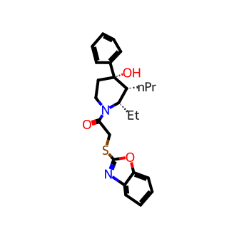 CCC[C@@H]1[C@H](CC)N(C(=O)CSc2nc3ccccc3o2)CC[C@@]1(O)c1ccccc1